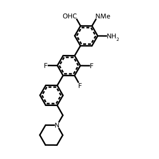 CNc1c(N)cc(-c2cc(F)c(-c3cccc(CN4CCCCC4)c3)c(F)c2F)cc1C=O